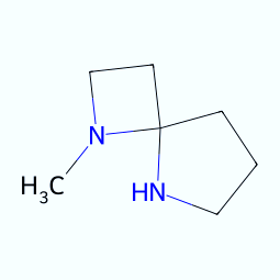 CN1CCC12CCCN2